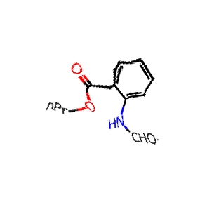 CCCOC(=O)c1ccccc1N[C]=O